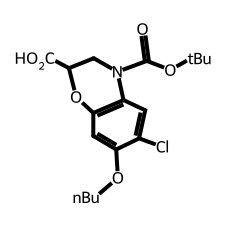 CCCCOc1cc2c(cc1Cl)N(C(=O)OC(C)(C)C)CC(C(=O)O)O2